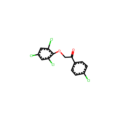 O=C(COc1c(Cl)cc(Cl)cc1Cl)c1ccc(Cl)cc1